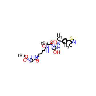 Cc1ncsc1-c1ccc(C(C)NC(=O)[C@@H]2C[C@@H](O)CN2C(=O)C(NC(=O)CCCCCNC(=O)[C@H]2CCN(C(=O)OC(C)(C)C)C2)C(C)(C)C)cc1